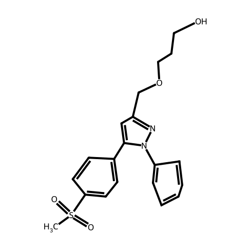 CS(=O)(=O)c1ccc(-c2cc(COCCCO)nn2-c2ccccc2)cc1